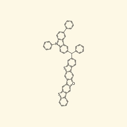 c1ccc(-c2ccc3c(c2)c2cc(C(c4ccccc4)c4ccc5c(c4)sc4cc6c(cc45)oc4cc5c(cc46)sc4ccccc45)ccc2n3-c2ccccc2)cc1